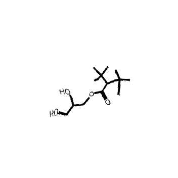 CC(C)(C)C(C(=O)OCC(O)CO)C(C)(C)C